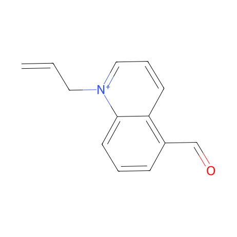 C=CC[n+]1cccc2c(C=O)cccc21